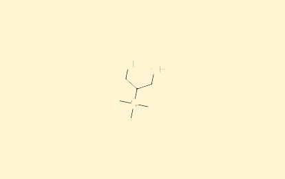 C[N+](C)(C)C(CO)CCl